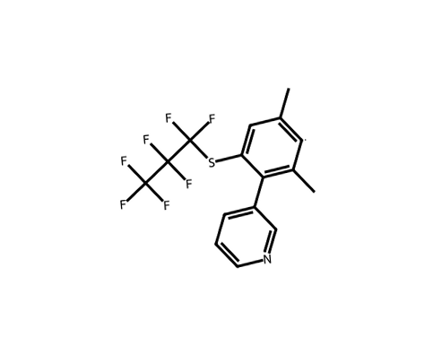 Cc1[c]c(C)c(-c2cccnc2)c(SC(F)(F)C(F)(F)C(F)(F)F)c1